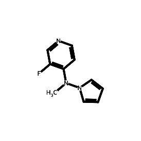 CN(c1ccncc1F)n1cccc1